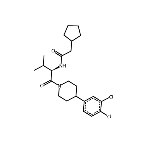 CC(C)[C@@H](NC(=O)CC1CCCC1)C(=O)N1CCC(c2ccc(Cl)c(Cl)c2)CC1